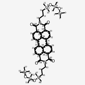 C[Si](C)(C)O[Si](C)(C)O[Si](C)(C)CCCN1C(=O)c2ccc3c4ccc5c6c(ccc(c7ccc(c2c37)C1=O)c64)C(=O)N(CCC[Si](C)(C)O[Si](C)(C)O[Si](C)(C)C)C5=O